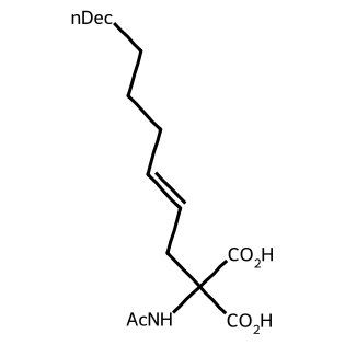 CCCCCCCCCCCCCC=CCC(NC(C)=O)(C(=O)O)C(=O)O